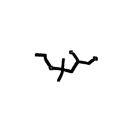 CCOC(C)(C)CC(Cl)CCl